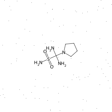 NC(N)(N1CCCC1)S(N)(=O)=O